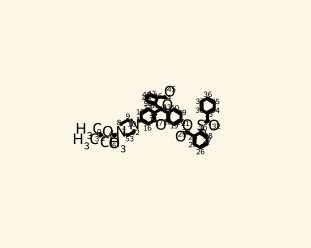 CC(C)(C)OC(=O)N1CCN(c2ccc3c(c2)Oc2cc(OC(=O)c4ccccc4SC(=O)c4ccccc4)ccc2C32OC(=O)c3ccccc32)CC1